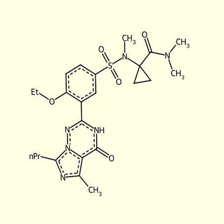 CCCc1nc(C)c2c(=O)[nH]c(-c3cc(S(=O)(=O)N(C)C4(C(=O)N(C)C)CC4)ccc3OCC)nn12